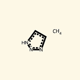 C.c1c[nH]nn1